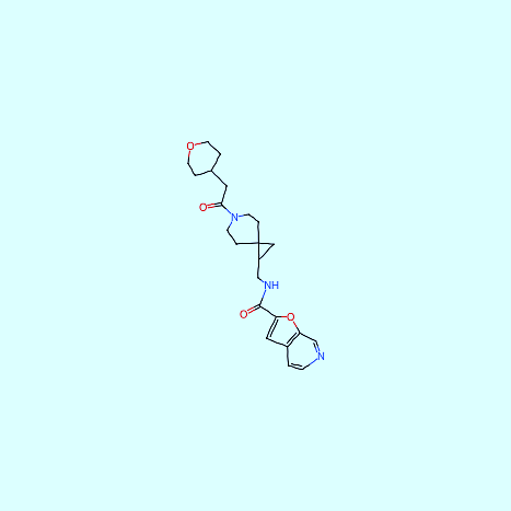 O=C(NCC1CC12CCN(C(=O)CC1CCOCC1)CC2)c1cc2ccncc2o1